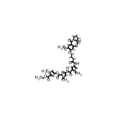 CCOC(=O)c1nc(OC(=O)c2nc(NC(=O)c3cc(NC(=O)CCCOc4cc5c(cc4OC)C(=O)N4CCC[C@H]4C=N5)cn3C)cn2C)cn1C